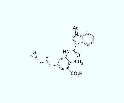 CC(=O)n1cc(C(=O)Nc2cc(CNCC3CC3)cc(C(=O)O)c2C)c2ccccc21